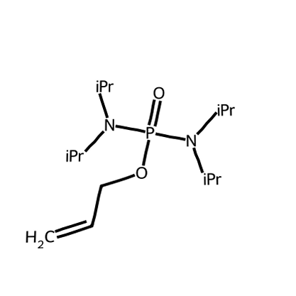 C=CCOP(=O)(N(C(C)C)C(C)C)N(C(C)C)C(C)C